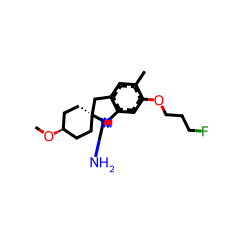 CO[C@H]1CC[C@]2(CC1)Cc1cc(C)c(OCCCF)cc1C21N=CC(N)=N1